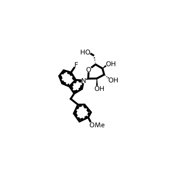 COc1ccc(Cc2cn([C@@H]3O[C@H](CO)[C@@H](O)[C@H](O)[C@H]3O)c3c(F)cccc23)cc1